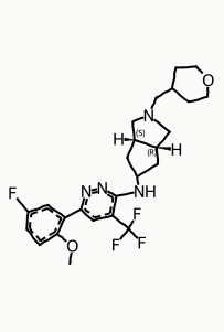 COc1ccc(F)cc1-c1cc(C(F)(F)F)c(NC2C[C@@H]3CN(CC4CCOCC4)C[C@@H]3C2)nn1